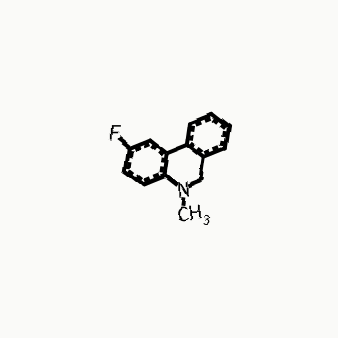 CN1Cc2ccccc2-c2cc(F)ccc21